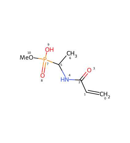 C=CC(=O)NC(C)P(=O)(O)OC